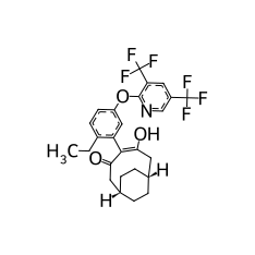 CCc1ccc(Oc2ncc(C(F)(F)F)cc2C(F)(F)F)cc1/C1=C(\O)C[C@H]2CC[C@H](CC2)CC1=O